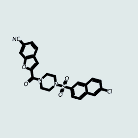 N#Cc1ccc2cc(C(=O)N3CCN(S(=O)(=O)c4ccc5cc(Cl)ccc5c4)CC3)oc2c1